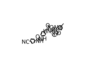 COC(=O)[C@H](Cc1ccc(NC(=O)Nc2ccc(C#N)cc2)cc1)NC(=O)[C@@H]1CCCN1S(=O)(=O)c1ccc(C)cc1